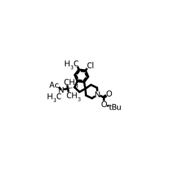 CC(=O)N(C)C(C)(C)[C@H]1CC2(CCN(C(=O)OC(C)(C)C)CC2)c2cc(Cl)c(C)cc21